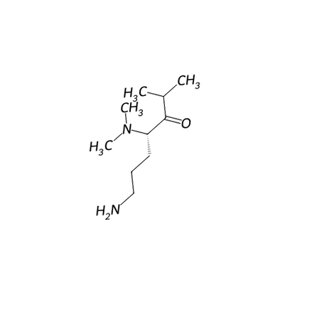 CC(C)C(=O)[C@H](CCCN)N(C)C